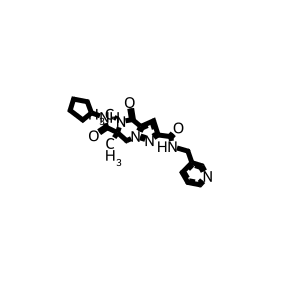 CN1C(=O)c2cc(C(=O)NCc3cccnc3)nn2CC1(C)C(=O)NC1CCCC1